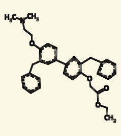 CCOC(=O)COc1ccc(-c2ccc(OCCN(C)C)c(Cc3ccccc3)c2)cc1Cc1ccccc1